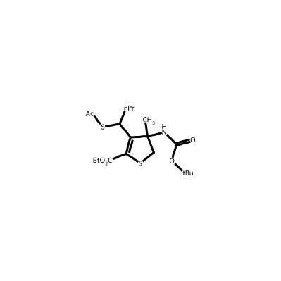 CCCC(SC(C)=O)C1=C(C(=O)OCC)SCC1(C)NC(=O)OC(C)(C)C